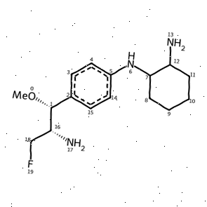 CO[C@H](c1ccc(NC2CCCCC2N)cc1)[C@H](N)CF